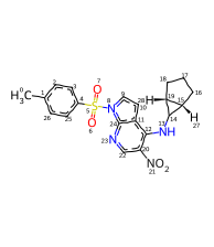 Cc1ccc(S(=O)(=O)n2ccc3c(NC4[C@H]5CCC[C@@H]45)c([N+](=O)[O-])cnc32)cc1